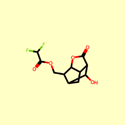 O=C(OCC1C2CC3C1OC(=O)C3C2O)C(F)F